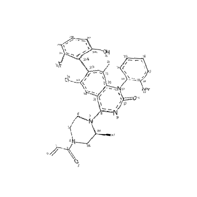 C=CC(=O)N1CCN(c2nc(=O)n(-c3ccccc3CCC)c3c(C)c(-c4c(O)cccc4F)c(Cl)cc23)[C@@H](C)C1